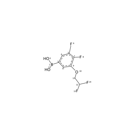 OB(O)c1cc(F)c(F)c(OCC(F)F)c1